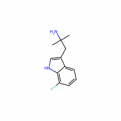 CC(C)(N)Cc1c[nH]c2c(F)cccc12